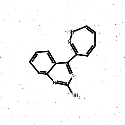 Nc1nc(C2=NNC=CC=C2)c2ccccc2n1